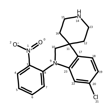 O=[N+]([O-])c1ccccc1N1CC2(CCNCC2)c2ccc(Cl)cc21